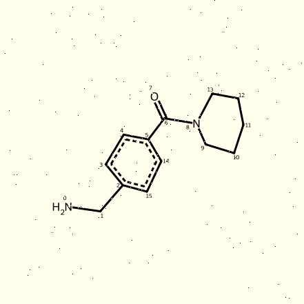 NCc1ccc(C(=O)N2CCCCC2)cc1